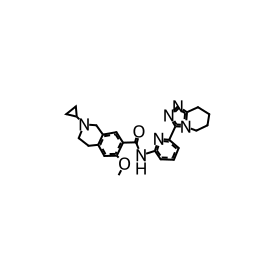 COc1cc2c(cc1C(=O)Nc1cccc(-c3nnc4n3CCCC4)n1)CN(C1CC1)CC2